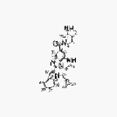 NC1CCCN(C(=O)c2cc3c4c(c2)nc(-c2cc5ccccc5n2CC2CC2)n4CCN3)C1